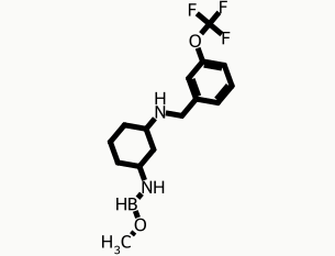 COBNC1CCCC(NCc2cccc(OC(F)(F)F)c2)C1